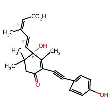 CC1=C(C#Cc2ccc(O)cc2)C(=O)CC(C)(C)[C@@]1(O)/C=C/C(C)=C\C(=O)O